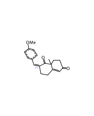 COc1ccc(/C=C2/CCC3=CC(=O)CCC3(C)C2=O)cc1